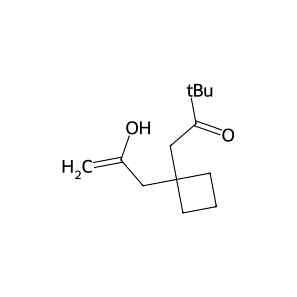 C=C(O)CC1(CC(=O)C(C)(C)C)CCC1